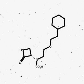 O=C1NC[C@@H]1N(CCOCCC1CCCCC1)C(=O)O